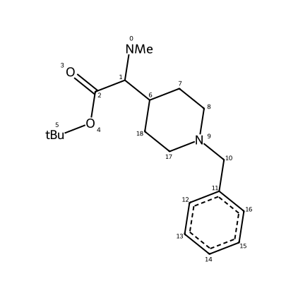 CNC(C(=O)OC(C)(C)C)C1CCN(Cc2ccccc2)CC1